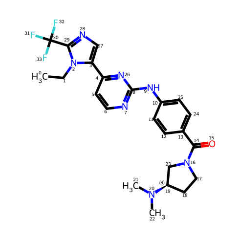 CCn1c(-c2ccnc(Nc3ccc(C(=O)N4CC[C@@H](N(C)C)C4)cc3)n2)cnc1C(F)(F)F